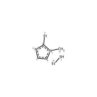 CCS.CCc1nccn1C